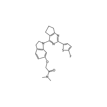 CN(C)C(=O)COc1ccc2c(c1)N(c1nc(-c3ccc(F)s3)nc3c1CCC3)CC2